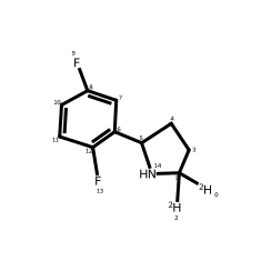 [2H]C1([2H])CCC(c2cc(F)ccc2F)N1